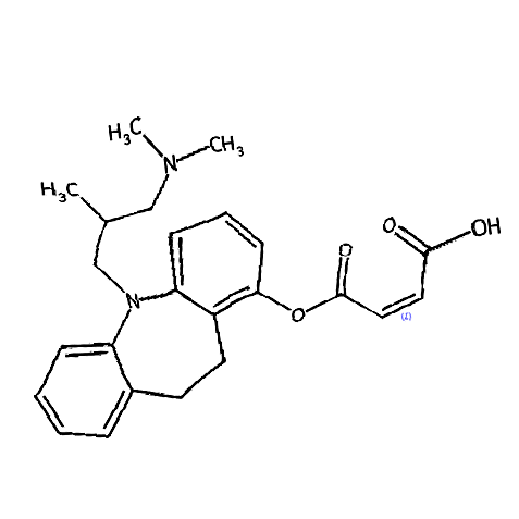 CC(CN(C)C)CN1c2ccccc2CCc2c(OC(=O)/C=C\C(=O)O)cccc21